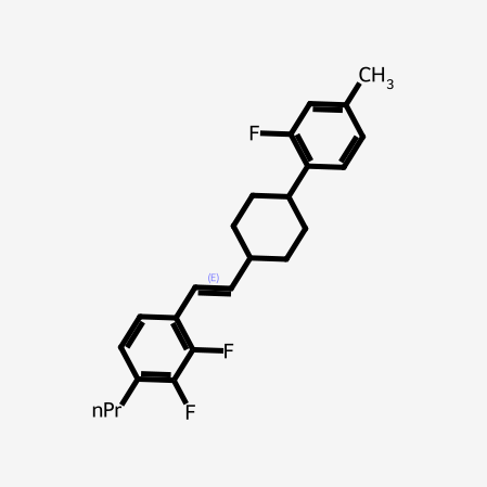 CCCc1ccc(/C=C/C2CCC(c3ccc(C)cc3F)CC2)c(F)c1F